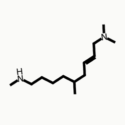 CNCCCCC(C)C/C=C/CN(C)C